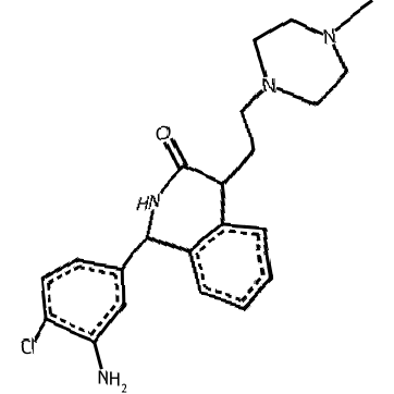 CN1CCN(CCC2C(=O)NC(c3ccc(Cl)c(N)c3)c3ccccc32)CC1